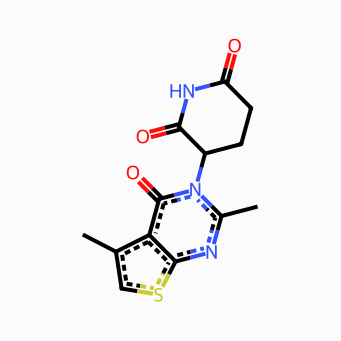 Cc1csc2nc(C)n(C3CCC(=O)NC3=O)c(=O)c12